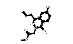 C=CCc1nn(CC(=O)OC)c(=O)c2ccc(Br)cc12